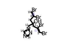 OC(C/C(Br)=C/Br)(C/C(Br)=C/Br)Cn1cncn1